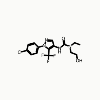 CCN(CCO)C(=O)Nc1cnn(-c2ccc(Cl)cc2)c1C(F)(F)F